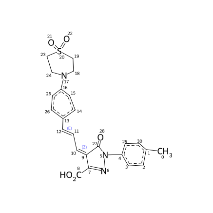 Cc1ccc(N2N=C(C(=O)O)/C(=C/C=C/c3ccc(N4CCS(=O)(=O)CC4)cc3)C2=O)cc1